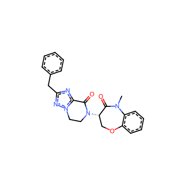 CN1C(=O)[C@@H](N2CCn3nc(Cc4ccccc4)nc3C2=O)COc2ccccc21